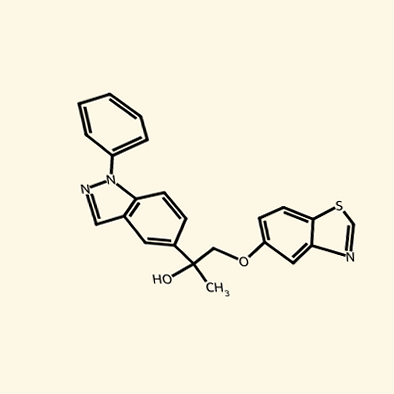 CC(O)(COc1ccc2scnc2c1)c1ccc2c(cnn2-c2ccccc2)c1